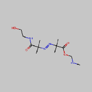 CNCOC(=O)C(C)(C)N=NC(C)(C)C(=O)NCCO